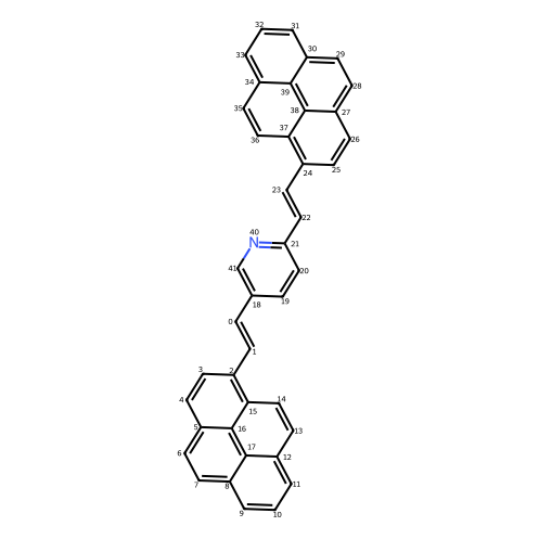 C(=C\c1ccc2ccc3cccc4ccc1c2c34)/c1ccc(/C=C/c2ccc3ccc4cccc5ccc2c3c45)nc1